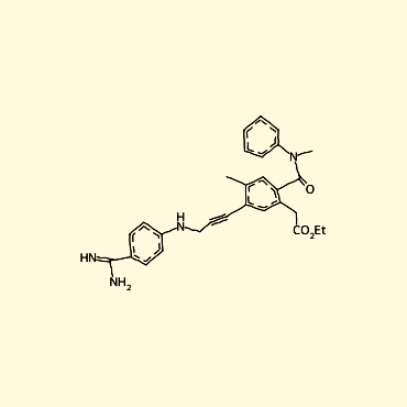 CCOC(=O)Cc1cc(C#CCNc2ccc(C(=N)N)cc2)c(C)cc1C(=O)N(C)c1ccccc1